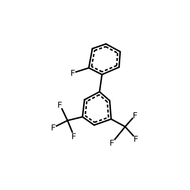 Fc1ccccc1-c1cc(C(F)(F)F)cc(C(F)(F)F)c1